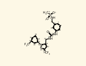 CS(=O)(=O)NCc1cccc(NC(=O)NCc2cc(C(F)(F)F)nn2-c2cccc(C(F)(F)F)c2)c1